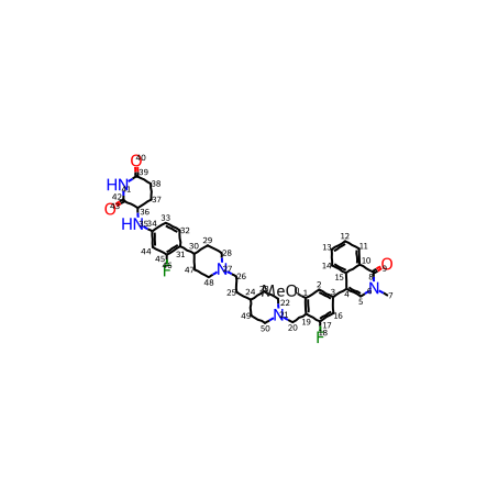 COc1cc(-c2cn(C)c(=O)c3ccccc23)cc(F)c1CN1CCC(CCN2CCC(c3ccc(NC4CCC(=O)NC4=O)cc3F)CC2)CC1